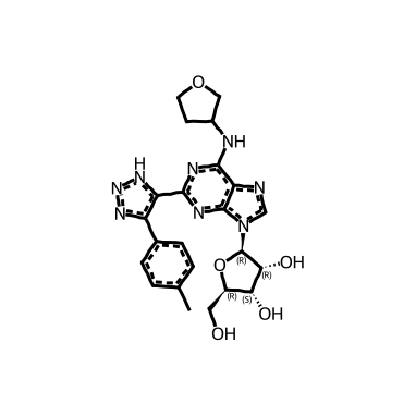 Cc1ccc(-c2nn[nH]c2-c2nc(NC3CCOC3)c3ncn([C@@H]4O[C@H](CO)[C@@H](O)[C@H]4O)c3n2)cc1